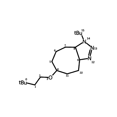 CC(C)(C)CCOC1CCCC2C(CC1)N=NN2C(C)(C)C